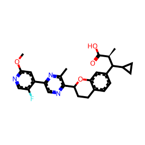 COc1cc(-c2cnc(C3CCc4ccc(C(C5CC5)[C@H](C)C(=O)O)cc4O3)c(C)n2)c(F)cn1